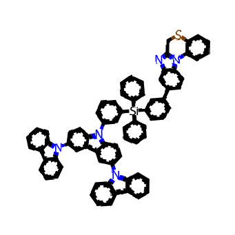 c1ccc([Si](c2ccccc2)(c2cccc(-c3ccc4c(c3)nc3n4-c4ccccc4SC3)c2)c2cccc(-n3c4ccc(-n5c6ccccc6c6ccccc65)cc4c4cc(-n5c6ccccc6c6ccccc65)ccc43)c2)cc1